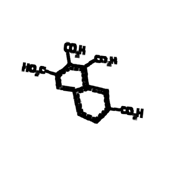 O=C(O)c1ccc2cc(C(=O)O)c(C(=O)O)c(C(=O)O)c2c1